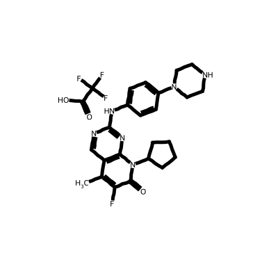 Cc1c(F)c(=O)n(C2CCCC2)c2nc(Nc3ccc(N4CCNCC4)cc3)ncc12.O=C(O)C(F)(F)F